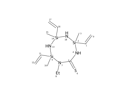 C=C[Si]1(C)NC(=S)N(CC)[Si](C)(C=C)N[Si](C)(C=C)N1